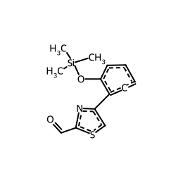 C[Si](C)(C)Oc1ccccc1-c1csc(C=O)n1